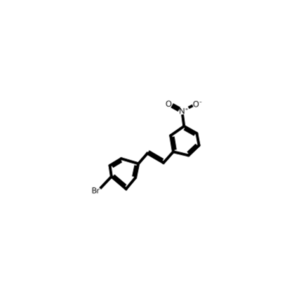 O=[N+]([O-])c1cccc(C=Cc2ccc(Br)cc2)c1